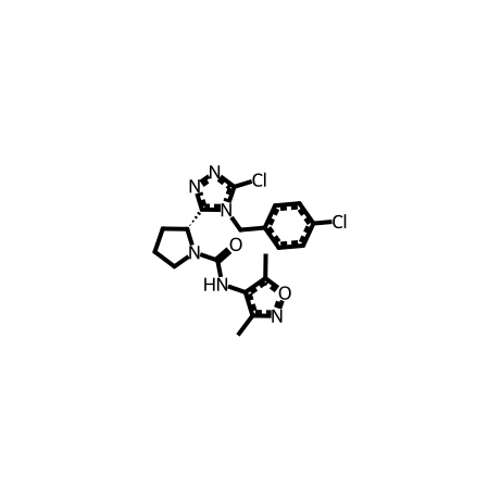 Cc1noc(C)c1NC(=O)N1CCC[C@@H]1c1nnc(Cl)n1Cc1ccc(Cl)cc1